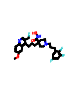 COc1ccc2ncc(CF)c(CCCC3(C(=O)NO)CCN(CCCc4cc(F)cc(F)c4F)CC3)c2c1